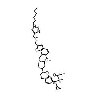 CCCCCCn1cc(COCc2cc3ccc(OC)c(CN4CCC(C5CCc6ccc([C@H](C7CC7)[C@H](C)C(=O)O)cc6O5)CC4)c3o2)nn1